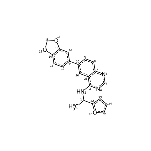 CC(Nc1ncnc2ccc(-c3ccc4c(c3)OCO4)cc12)c1ccco1